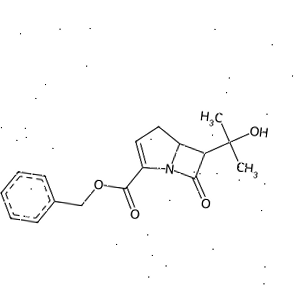 CC(C)(O)C1C(=O)N2C(C(=O)OCc3ccccc3)=CCC12